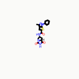 Cc1nn(-c2ccccc2)c2sc(C(=O)N[C@H]3C[C@H]4C(=O)NC(=O)N4C3)cc12